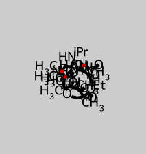 CC[C@H]1OC(=O)[C@@]2(C)CCO[C@@](C)(C[C@@H](C)CN(C)[C@H](C)[C@H]3NC(=O)O[C@@]31C)[C@H](O[C@@H]1OC(CNC(C)C)CC(N(C)C)C1O)[C@@H](C)C2=O